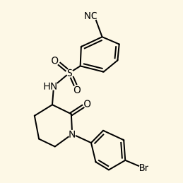 N#Cc1cccc(S(=O)(=O)NC2CCCN(c3ccc(Br)cc3)C2=O)c1